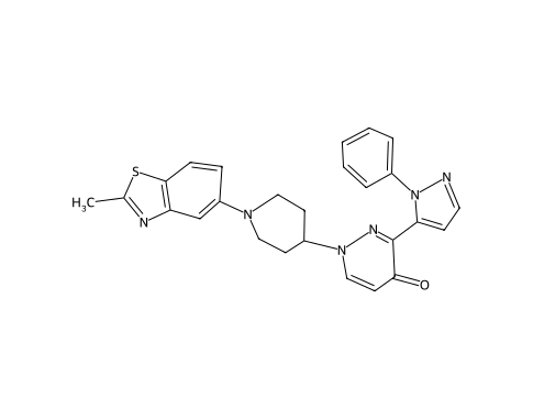 Cc1nc2cc(N3CCC(n4ccc(=O)c(-c5ccnn5-c5ccccc5)n4)CC3)ccc2s1